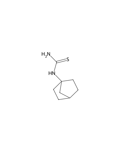 NC(=S)NC12CCC(CC1)C2